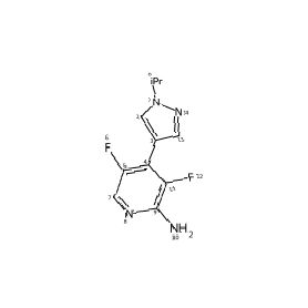 CC(C)n1cc(-c2c(F)cnc(N)c2F)cn1